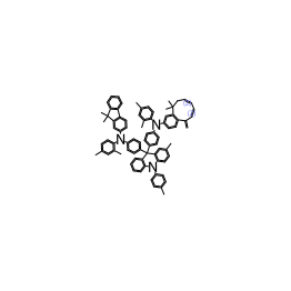 C=C1/C=C\C=C/CC(C)(C)c2cc(N(c3ccc(C4(c5ccc(N(c6ccc7c(c6)C(C)(C)c6ccccc6-7)c6ccc(C)cc6C)cc5)c5ccccc5N(c5ccc(C)cc5)c5ccc(C)cc54)cc3)c3ccc(C)cc3C)ccc21